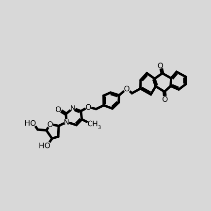 Cc1cn(C2CC(O)C(CO)O2)c(=O)nc1OCc1ccc(OCc2ccc3c(c2)C(=O)c2ccccc2C3=O)cc1